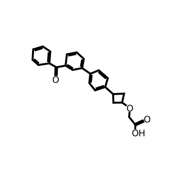 O=C(O)COC1CC(c2ccc(-c3cccc(C(=O)c4ccccc4)c3)cc2)C1